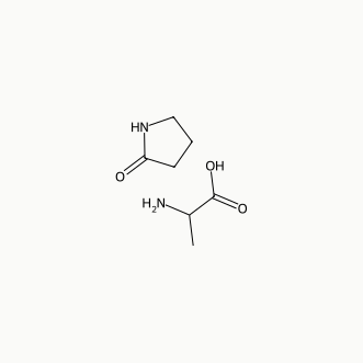 CC(N)C(=O)O.O=C1CCCN1